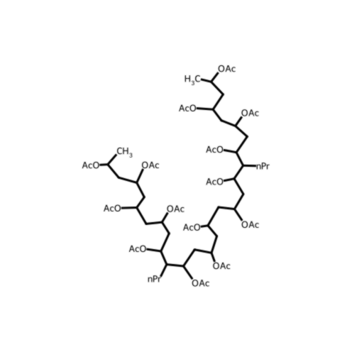 CCCC(C(CC(CC(CC(C)OC(C)=O)OC(C)=O)OC(C)=O)OC(C)=O)C(CC(CC(CC(CC(OC(C)=O)C(CCC)C(CC(CC(CC(CC(C)OC(C)=O)OC(C)=O)OC(C)=O)OC(C)=O)OC(C)=O)OC(C)=O)OC(C)=O)OC(C)=O)OC(C)=O